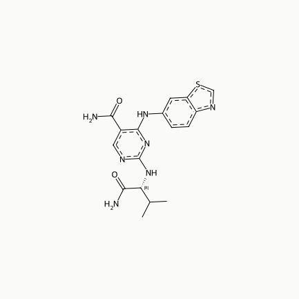 CC(C)[C@@H](Nc1ncc(C(N)=O)c(Nc2ccc3ncsc3c2)n1)C(N)=O